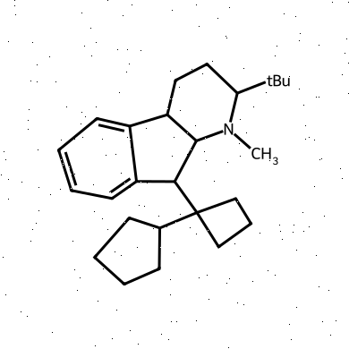 CN1C2C(CCC1C(C)(C)C)c1ccccc1C2C1(C2CCCC2)CCC1